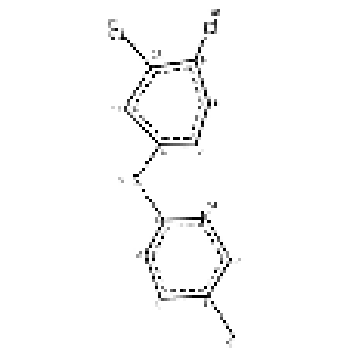 Cc1ccc(Sc2ccc(Cl)c(Cl)c2)nc1